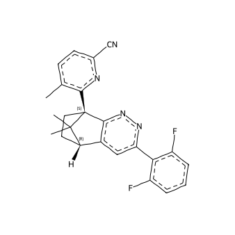 Cc1ccc(C#N)nc1[C@@]12CC[C@@H](c3cc(-c4c(F)cccc4F)nnc31)C2(C)C